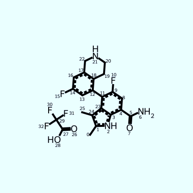 Cc1[nH]c2c(C(N)=O)cc(F)c(-c3cc(F)cc4c3CCNC4)c2c1C.O=C(O)C(F)(F)F